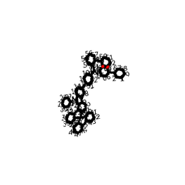 c1ccc(-c2ccc(N(c3ccc(-c4ccc5c(c4)c4ccc6c(c4n5-c4ccccc4)-c4ccccc4C64c5ccccc5-c5ccccc54)cc3)c3ccccc3-c3ccccc3)cc2)cc1